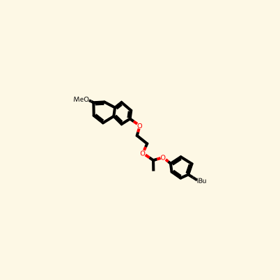 CCC(C)c1ccc(OC(C)OCCOc2ccc3cc(OC)ccc3c2)cc1